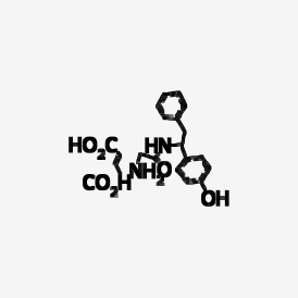 NCC(=O)NC(Cc1ccccc1)c1ccc(O)cc1.O=C(O)C=CC(=O)O